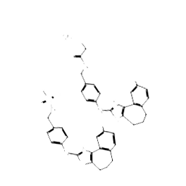 COCC(=O)NCc1ccc(Nc2nc3c(s2)CCCc2ccc(F)cc2-3)cc1.CS(=O)(=O)NCc1ccc(Nc2nc3c(s2)CCCc2ccc(F)cc2-3)cc1